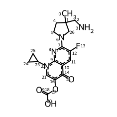 CC1(CN)CCN(c2nc3c(cc2F)c(=O)c(OC(=O)O)cn3C2CC2)C1